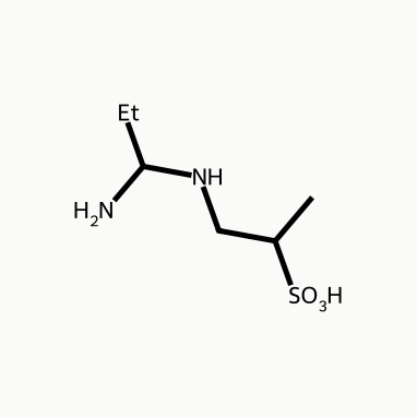 CCC(N)NCC(C)S(=O)(=O)O